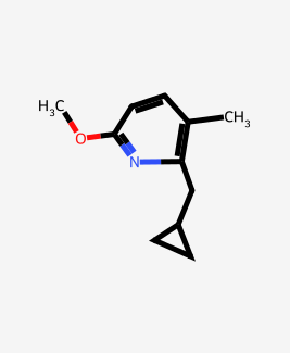 COc1ccc(C)c(CC2CC2)n1